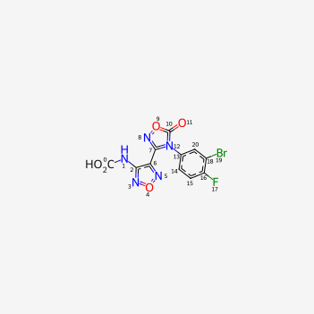 O=C(O)Nc1nonc1-c1noc(=O)n1-c1ccc(F)c(Br)c1